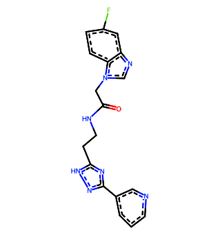 O=C(Cn1cnc2cc(F)ccc21)NCCc1nc(-c2cccnc2)n[nH]1